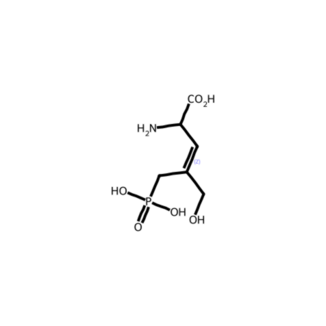 NC(/C=C(/CO)CP(=O)(O)O)C(=O)O